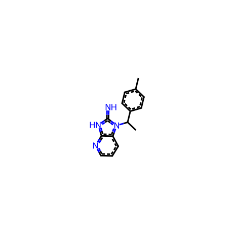 Cc1ccc(C(C)n2c(=N)[nH]c3ncccc32)cc1